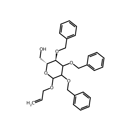 C=CCOC1O[C@H](CO)[C@@H](OCc2ccccc2)C(OCc2ccccc2)C1OCc1ccccc1